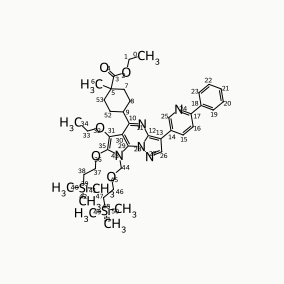 CCOC(=O)C1(C)CCC(c2nc3c(-c4ccc(-c5ccccc5)nc4)cnn3c3c2c(OCC)c(OCC[Si](C)(C)C)n3COCC[Si](C)(C)C)CC1